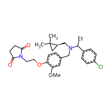 CCC(c1ccc(Cl)cc1)N(Cc1ccc(OCCN2C(=O)CCC2=O)c(OC)c1)C[C@H]1CC1(C)C